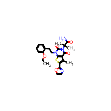 CCOc1ccccc1CCn1c(=O)n(C(C)(C)C(N)=O)c(=O)c2c(C)c(-c3ncco3)sc21